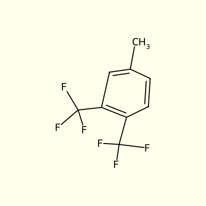 Cc1ccc(C(F)(F)F)c(C(F)(F)F)c1